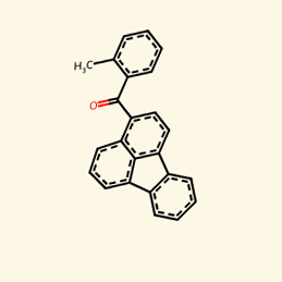 Cc1ccccc1C(=O)c1ccc2c3c(cccc13)-c1ccccc1-2